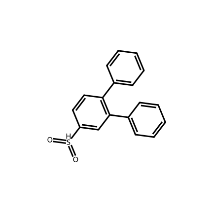 O=[SH](=O)c1ccc(-c2ccccc2)c(-c2ccccc2)c1